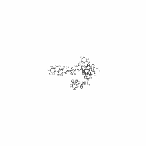 CC(C)(C)OC(=O)N1Cc2ccccc2C[C@H]1C(=O)N(OC1CCCCO1)c1cccc(-c2ccc(C3=Cc4ccc5c(c4CC3)CCc3ccccc3-5)s2)c1.NC(=O)CC1C=CC=CS1(=O)=O